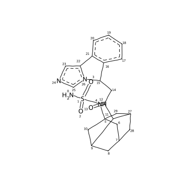 NS(=O)(=O)NC12CC3CC(C1)C(C(=O)CC1c4ccccc4-c4cncn41)C(C3)C2